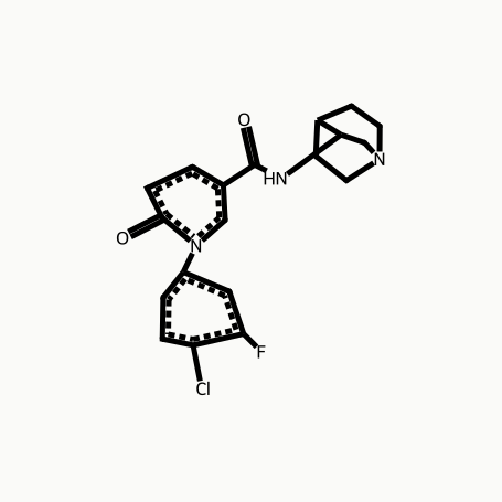 O=C(NC1CN2CCC1CC2)c1ccc(=O)n(-c2ccc(Cl)c(F)c2)c1